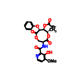 COc1ccnc(C(=O)NC2COC(=O)[C@H](Oc3ccccc3)[C@@H](OC(=O)C(C)C)[C@H](C)OC2=O)c1O